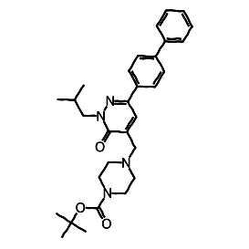 CC(C)Cn1nc(-c2ccc(-c3ccccc3)cc2)cc(CN2CCN(C(=O)OC(C)(C)C)CC2)c1=O